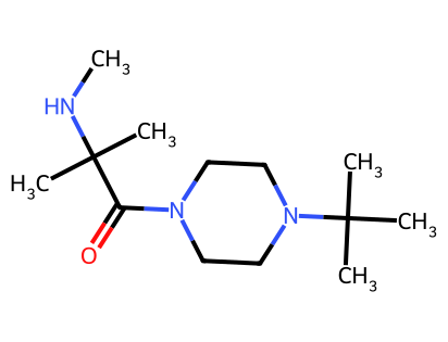 CNC(C)(C)C(=O)N1CCN(C(C)(C)C)CC1